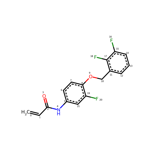 C=CC(=O)Nc1ccc(OCc2cccc(F)c2F)c(F)c1